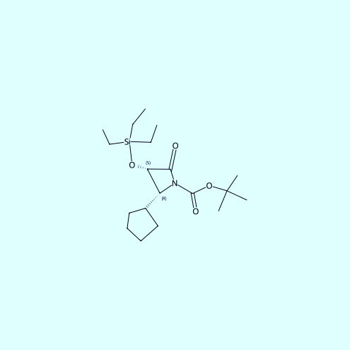 CC[Si](CC)(CC)O[C@@H]1C(=O)N(C(=O)OC(C)(C)C)[C@@H]1C1CCCC1